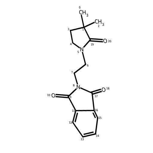 CC1(C)CCN(CCN2C(=O)c3ccccc3C2=O)C1=O